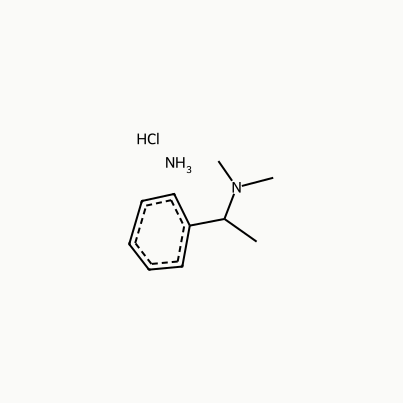 CC(c1ccccc1)N(C)C.Cl.N